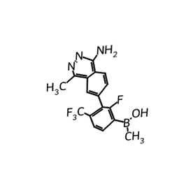 CB(O)c1ccc(C(F)(F)F)c(-c2ccc3c(N)nnc(C)c3c2)c1F